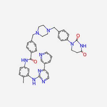 Cc1ccc(NC(=O)c2ccc(CN3CCN(Cc4ccc(N5CCC(=O)NC5=O)cc4)CC3)cc2)cc1Nc1nccc(-c2cccnc2)n1